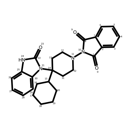 O=C1c2ccccc2C(=O)N1N1CCC(C2CCCCC2)(n2c(=O)[nH]c3ccccc32)CC1